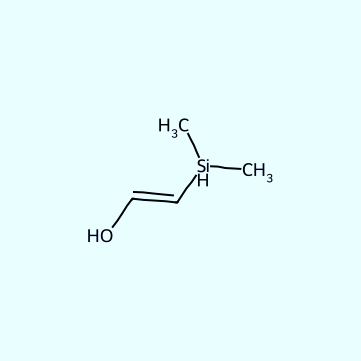 C[SiH](C)C=CO